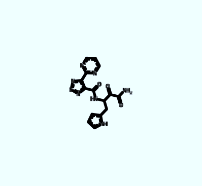 NC(=O)C(=O)C(Cc1ccc[nH]1)NC(=O)c1nsnc1-c1ncccn1